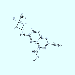 CCNc1nc(C#N)cc2cnc(N[C@H]3C[C@](C)(N)C3)cc12